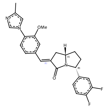 COc1cc(/C=C2\C[C@@H]3CC[C@H](c4ccc(F)c(F)c4)N3C2=O)ccc1-n1cnc(C)c1